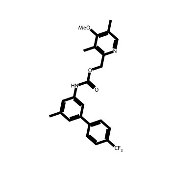 COc1c(C)cnc(COC(=O)Nc2cc(C)cc(-c3ccc(C(F)(F)F)cc3)c2)c1C